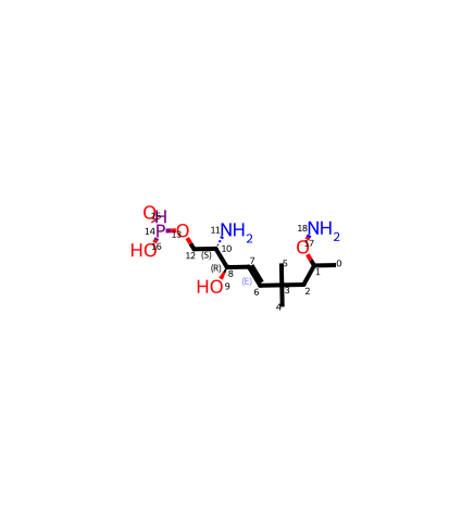 CC(CC(C)(C)/C=C/[C@@H](O)[C@@H](N)CO[PH](=O)O)ON